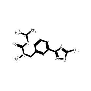 Cc1nc(-c2cccc(CN(C)C(=O)OC(C)C(F)(F)F)c2)no1